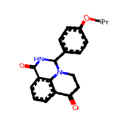 CC(C)Oc1ccc(C2NC(=O)c3cccc4c3N2CCC4=O)cc1